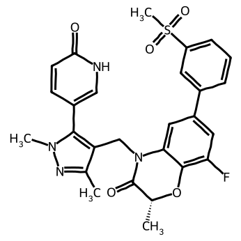 Cc1nn(C)c(-c2ccc(=O)[nH]c2)c1CN1C(=O)[C@@H](C)Oc2c(F)cc(-c3cccc(S(C)(=O)=O)c3)cc21